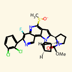 COC(=O)N1CCC[C@@H]1c1cc2c([S+](C)[O-])nc3c(F)c(-c4cccc(Cl)c4Cl)ncc3c2n1[C@@H]1[C@@H]2CC[C@H]1C2